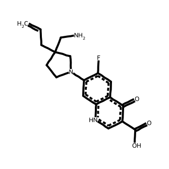 C=CCC1(CN)CCN(c2cc3[nH]cc(C(=O)O)c(=O)c3cc2F)C1